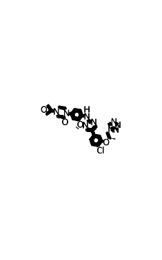 COc1cc(N2CCN(C3COC3)CC2=O)ccc1Nc1ncc(-c2ccc(Cl)c(O[C@@H](C)Cn3cnnn3)c2)cn1